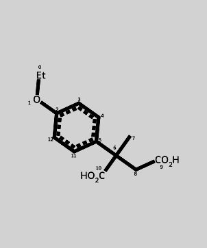 CCOc1ccc(C(C)(CC(=O)O)C(=O)O)cc1